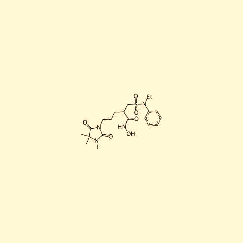 CCN(c1ccccc1)S(=O)(=O)CC(CCCN1C(=O)N(C)C(C)(C)C1=O)C(=O)NO